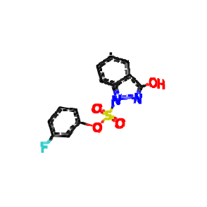 O=S(=O)(Oc1cccc(F)c1)n1nc(O)c2c[c]ccc21